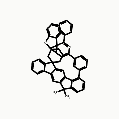 CC1(C)c2cc3c(cc2-c2c(-c4cccc(C5=NC6C7Oc8ccccc8C67C(c6ccccc6)=N5)c4)cccc21)C1(CCCCC1)c1ccccc1-3